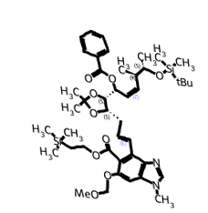 COCOc1cc2c(ncn2C)c(/C=C/C[C@@H]2OC(C)(C)O[C@@H]2C(/C=C\[C@@H](C)[C@H](C)O[Si](C)(C)C(C)(C)C)OC(=O)c2ccccc2)c1C(=O)OCC[Si](C)(C)C